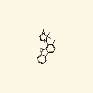 Cc1ccc2c(oc3ccccc32)c1N1C=CN(C)C1(C)C